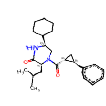 CC(C)C[C@H]1C(=O)N[C@@H](C2CCCCC2)CN1C(=O)[C@@H]1C[C@H]1c1ccccc1